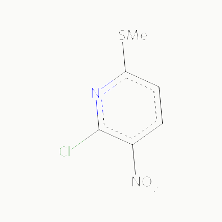 CSc1ccc([N+](=O)[O-])c(Cl)n1